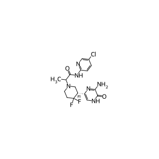 CC(C(=O)Nc1ccc(Cl)cn1)N1CCC(F)(F)[C@@H](c2c[nH]c(=O)c(N)n2)C1